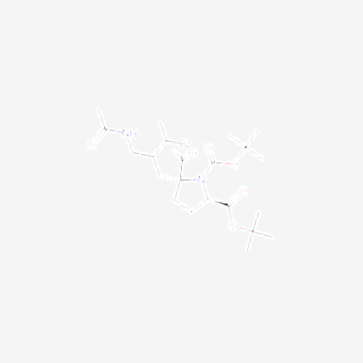 CC(=O)NCC(C[C@@]1(C(C)=O)CC[C@H](C(=O)OC(C)(C)C)N1C(=O)OC(C)(C)C)C(C)Br